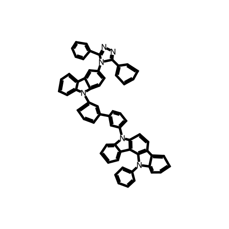 c1ccc(-c2nnc(-c3ccccc3)n2-c2ccc3c(c2)c2ccccc2n3-c2cccc(-c3cccc(-n4c5ccccc5c5c4ccc4c6ccccc6n(-c6ccccc6)c45)c3)c2)cc1